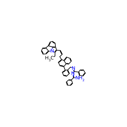 CCc1c(/C=C\Cc2ccc(-c3ccccc3C/N=C(\N=C(/N)c3ccccc3)c3ccccc3)c3ccccc23)c2cccc3c4ccccc4n1c23